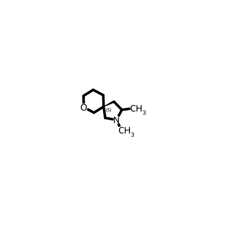 CC1C[C@@]2(CCCOC2)CN1C